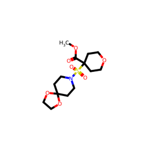 COC(=O)C1(S(=O)(=O)N2CCC3(CC2)OCCO3)CCOCC1